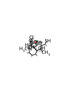 CC(CCS)C1CCC[N+](C)(C)C1(P(=O)(O)O)P(=O)(O)O.[Cl-]